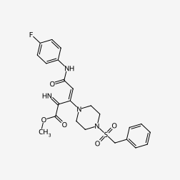 COC(=O)C(=N)/C(=C\C(=O)Nc1ccc(F)cc1)N1CCN(S(=O)(=O)Cc2ccccc2)CC1